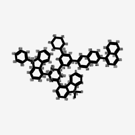 CS1(C)c2ccccc2-c2c(-c3nc(-c4cc(-c5ccc6cc(-c7cccc8ccccc78)ccc6c5)cc(C5CCCCC5)c4)nc(-c4cccc5c4c4ccccc4n5-c4ccccc4)n3)cccc21